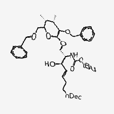 CCCCCCCCCCCC/C=C/[C@@H](O)[C@H](CO[C@H]1OC(COCc2ccccc2)[C@H](C)[C@H](C)C1OCc1ccccc1)NC(=O)OC(C)(C)C